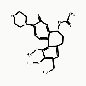 COc1cc2c(c(OC)c1OC)-c1ccc(N3CCNCC3)c(=O)cc1[C@@H](NC(C)=O)CC2